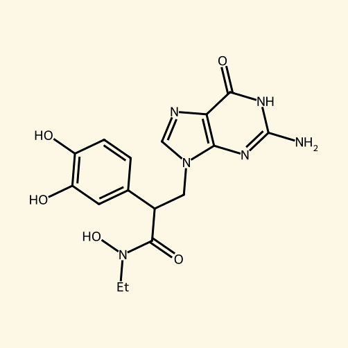 CCN(O)C(=O)C(Cn1cnc2c(=O)[nH]c(N)nc21)c1ccc(O)c(O)c1